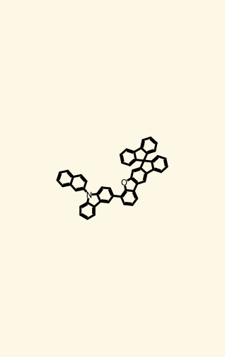 c1ccc2c(c1)-c1ccccc1C21c2ccccc2-c2cc3c(cc21)oc1c(-c2ccc4c(c2)c2ccccc2n4-c2ccc4ccccc4c2)cccc13